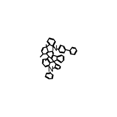 CC1C=CC2(C)C3=C1C(C)C1=C(c4ccccc4C14c1ccccc1N(c1ccccc1)c1ccccc14)C3(C)N(c1ccc(-c3ccccc3)cc1)c1ccccc12